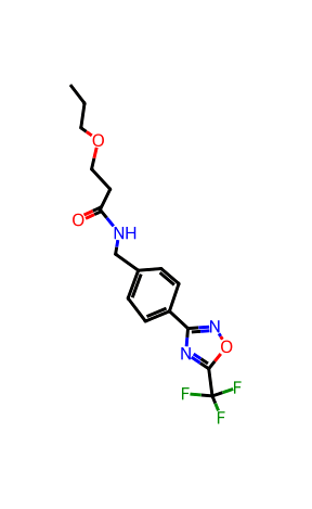 CCCOCCC(=O)NCc1ccc(-c2noc(C(F)(F)F)n2)cc1